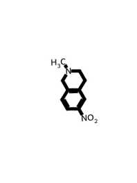 CN1CCc2cc([N+](=O)[O-])ccc2C1